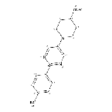 CCCCCCCCCCC1CCC(c2cnc(-c3ccc(C#N)cc3)nc2)CC1